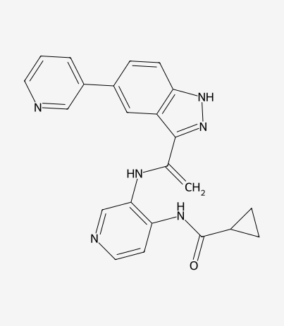 C=C(Nc1cnccc1NC(=O)C1CC1)c1n[nH]c2ccc(-c3cccnc3)cc12